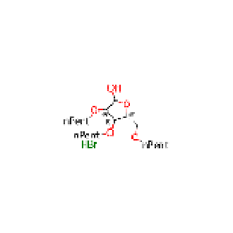 Br.CCCCCOC[C@H]1OC(O)[C@H](OCCCCC)[C@@H]1OCCCCC